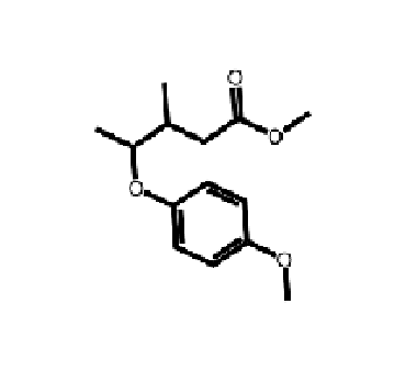 COC(=O)CC(C)C(C)Oc1ccc(OC)cc1